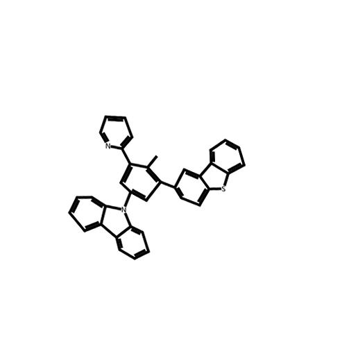 Cc1c(-c2ccc3sc4ccccc4c3c2)cc(-n2c3ccccc3c3ccccc32)cc1-c1ccccn1